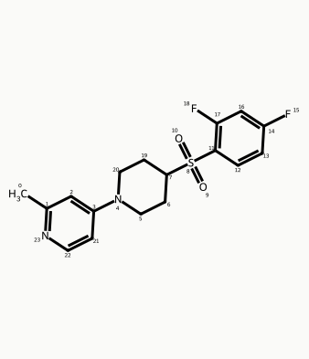 Cc1cc(N2CCC(S(=O)(=O)c3ccc(F)cc3F)CC2)ccn1